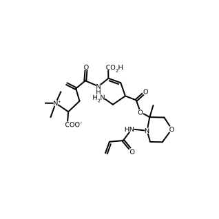 C=CC(=O)NN1CCOCC1(C)OC(=O)C(C=C(NC(=O)C(=C)CC(C(=O)[O-])[N+](C)(C)C)C(=O)O)CN